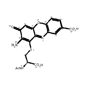 CC(=O)N[C@@H](CSc1c2nc3cc(C(=O)O)ccc3oc-2cc(=O)c1N)C(=O)O